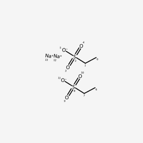 CCS(=O)(=O)[O-].CCS(=O)(=O)[O-].[Na+].[Na+]